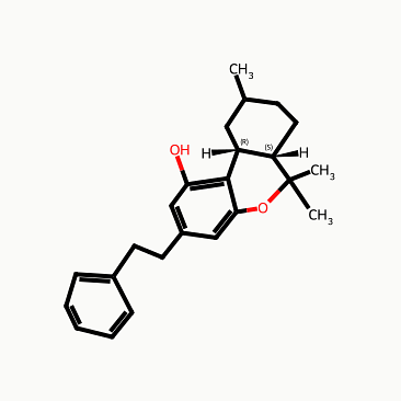 CC1CC[C@H]2[C@@H](C1)c1c(O)cc(CCc3ccccc3)cc1OC2(C)C